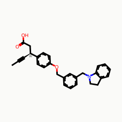 CC#C[C@@H](CC(=O)O)c1ccc(OCc2cccc(CN3CCc4ccccc43)c2)cc1